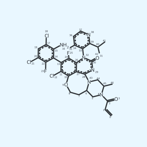 C=CC(=O)N1CC2CCOc3c(Cl)c(-c4c(N)c(Cl)cc(Cl)c4F)c(F)c4c3c(nc(=O)n4-c3c(C)ccnc3C(C)C)N2CC1C